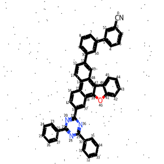 N#Cc1cccc(-c2cccc(-c3ccc4c5ccc(-c6nc(-c7ccccc7)nc(-c7ccccc7)n6)cc5c5oc6ccccc6c5c4c3)c2)c1